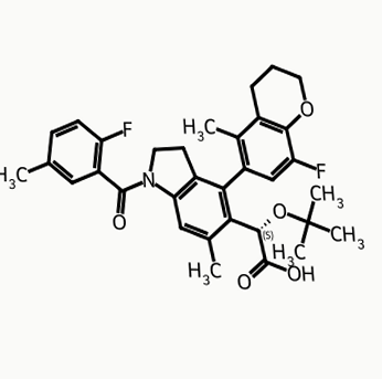 Cc1ccc(F)c(C(=O)N2CCc3c2cc(C)c([C@H](OC(C)(C)C)C(=O)O)c3-c2cc(F)c3c(c2C)CCCO3)c1